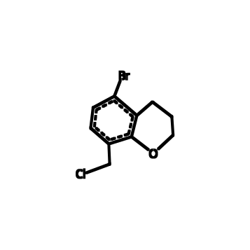 ClCc1ccc(Br)c2c1OCCC2